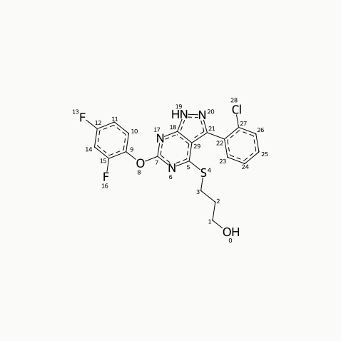 OCCCSc1nc(Oc2ccc(F)cc2F)nc2[nH]nc(-c3ccccc3Cl)c12